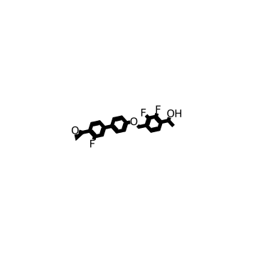 CC(O)c1ccc(COc2ccc(-c3ccc(C4CO4)c(F)c3)cc2)c(F)c1F